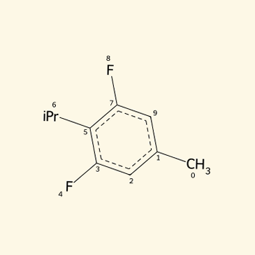 Cc1cc(F)c(C(C)C)c(F)c1